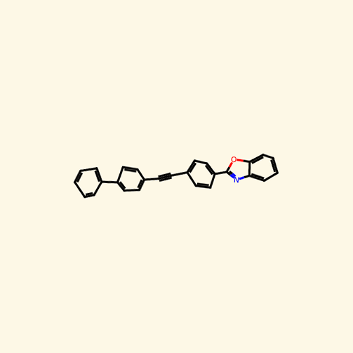 C(#Cc1ccc(-c2nc3ccccc3o2)cc1)c1ccc(-c2ccccc2)cc1